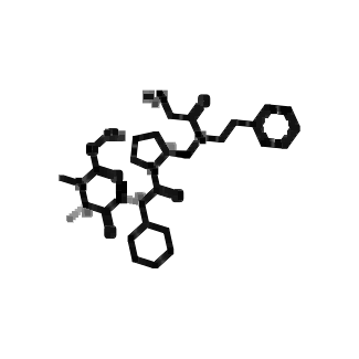 C[C@@H](C(=O)N[C@H](C(=O)N1CCC[C@H]1CN(CCc1ccccc1)C(=O)CN)C1CCCCC1)N(C)C(=O)OC(C)(C)C